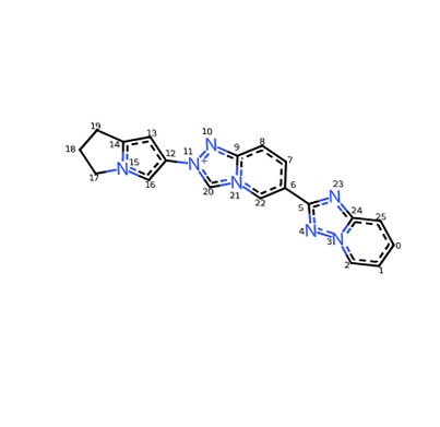 c1ccn2nc(-c3ccc4n[n+](-c5cc6n(c5)CCC6)cn4c3)nc2c1